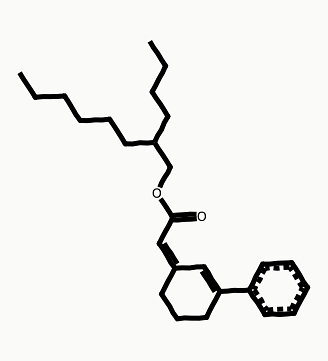 CCCCCCC(CCCC)COC(=O)C=C1C=C(c2ccccc2)CCC1